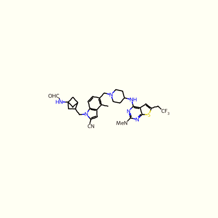 CNc1nc(NC2CCN(Cc3ccc4c(cc(C#N)n4CC4CC5(NC=O)CC4C5)c3C)CC2)c2cc(CC(F)(F)F)sc2n1